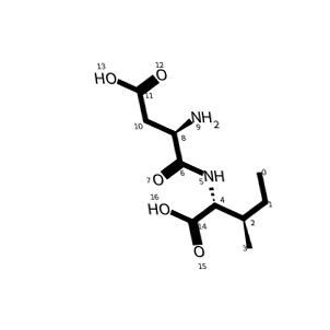 CC[C@@H](C)[C@@H](NC(=O)[C@H](N)CC(=O)O)C(=O)O